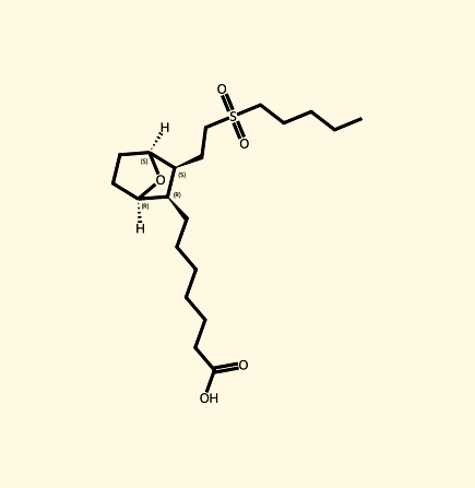 CCCCCS(=O)(=O)CC[C@H]1[C@@H](CCCCCCC(=O)O)[C@H]2CC[C@@H]1O2